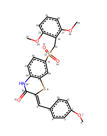 COc1ccc(C=C2Sc3cc(S(=O)(=O)Cc4c(OC)cccc4OC)ccc3NC2=O)cc1